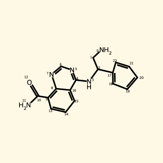 NCC(Nc1ncnc2c(C(N)=O)cccc12)c1ccccc1